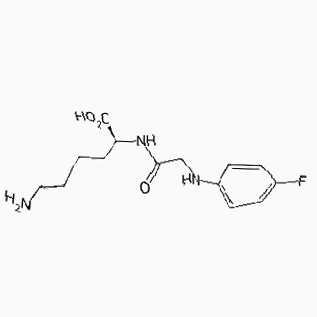 NCCCC[C@H](NC(=O)CNc1ccc(F)cc1)C(=O)O